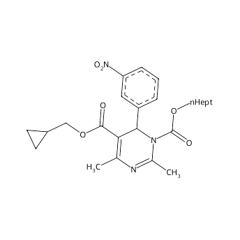 CCCCCCCOC(=O)N1C(C)=NC(C)=C(C(=O)OCC2CC2)C1c1cccc([N+](=O)[O-])c1